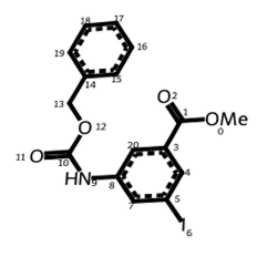 COC(=O)c1cc(I)cc(NC(=O)OCc2ccccc2)c1